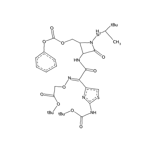 CC([SiH2]N1C(=O)C(NC(=O)C(=NOCC(=O)OC(C)(C)C)c2csc(NC(=O)OC(C)(C)C)n2)C1COC(=O)Oc1ccccc1)C(C)(C)C